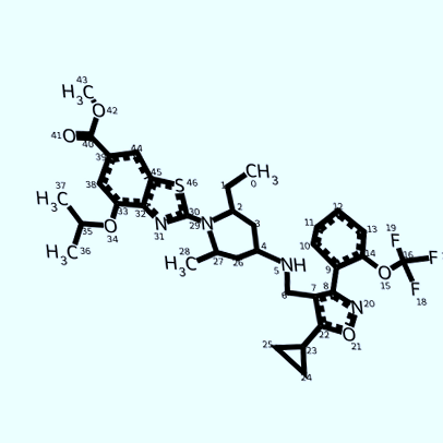 CCC1CC(NCc2c(-c3ccccc3OC(F)(F)F)noc2C2CC2)CC(C)N1c1nc2c(OC(C)C)cc(C(=O)OC)cc2s1